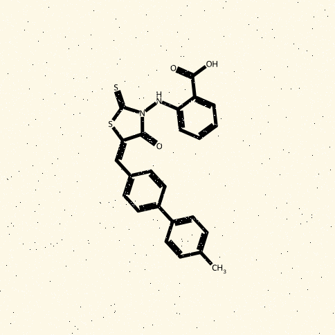 Cc1ccc(-c2ccc(C=C3SC(=S)N(Nc4ccccc4C(=O)O)C3=O)cc2)cc1